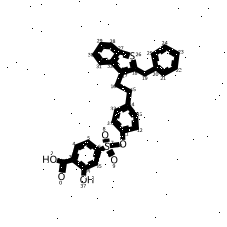 O=C(O)c1ccc(S(=O)(=O)Oc2ccc(CCc3c(Cc4ccccc4)sc4ccccc34)cc2)cc1O